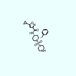 O=C(N[C@H]1CCN(S(=O)(=O)N2CCNCC2)[C@@H](Cc2ccccc2)C1)c1cc(C2CC2)on1